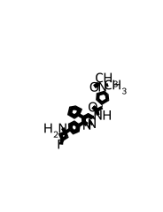 CC(=O)N(C)[C@H]1CC[C@H](CC(=O)Nc2cc(-c3ccccc3)c(-c3ccc(C4(N)CC(F)C4)cc3)nn2)CC1